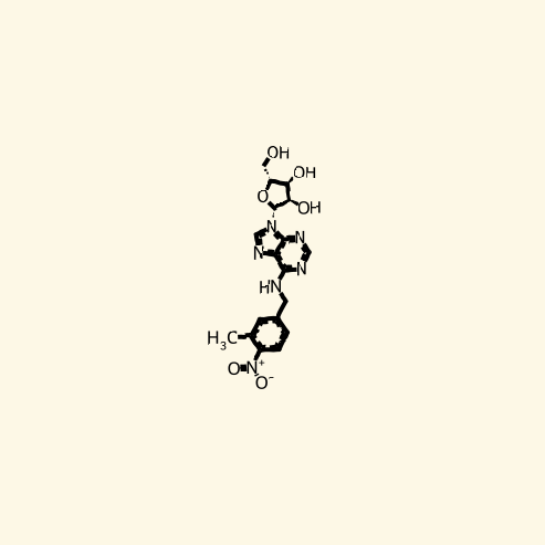 Cc1cc(CNc2ncnc3c2ncn3[C@@H]2O[C@H](CO)[C@@H](O)[C@H]2O)ccc1[N+](=O)[O-]